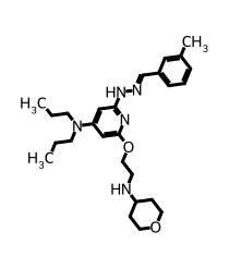 CCCN(CCC)c1cc(N/N=C/c2cccc(C)c2)nc(OCCNC2CCOCC2)c1